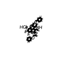 CC1=C(C(=O)OC(C)COc2ccccc2)C(c2c(F)c(F)c(F)c(F)c2F)C2=C(CN(Cc3ccccc3)CC2=O)N1.Cl